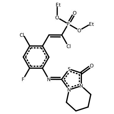 CCOP(=O)(OCC)C(Cl)=Cc1cc(N=c2sc(=O)n3n2CCCC3)c(F)cc1Cl